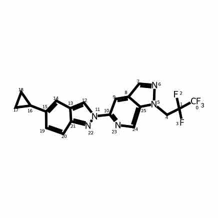 FC(F)(F)C(F)(F)Cn1ncc2cc(-n3cc4cc(C5CC5)ccc4n3)ncc21